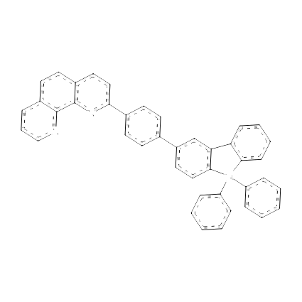 c1ccc([Si]2(c3ccccc3)c3ccccc3-c3cc(-c4ccc(-c5ccc6ccc7cccnc7c6n5)cc4)ccc32)cc1